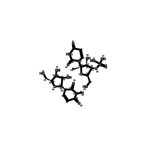 O=c1ccn([C@]2(F)O[C@H](CO)[C@@H](OP(=O)(O)O)[C@H]2O)c(=O)[nH]1.[2H]n1c(=O)ccn([C@@H]2O[C@H](CO)[C@@H](O)[C@H]2O)c1=O